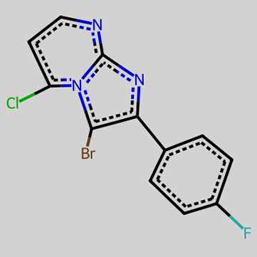 Fc1ccc(-c2nc3nccc(Cl)n3c2Br)cc1